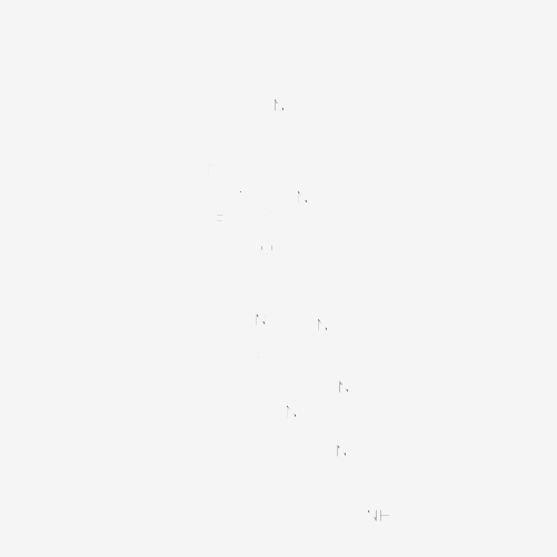 CC#CCn1c(N2CCNCC2)nc2nc(Oc3ccccc3N(CCN3CCCCC3)C(=O)C(F)(F)F)n(C)c(=O)c21